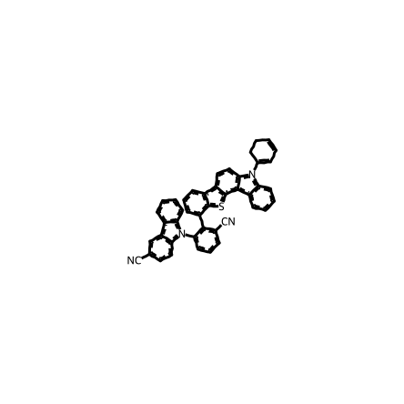 N#Cc1ccc2c(c1)c1ccccc1n2-c1cccc(C#N)c1-c1cccc2c1sc1c2ccc2c1c1ccccc1n2C1=CC=CCC1